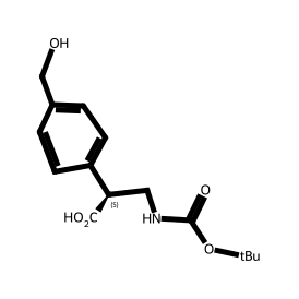 CC(C)(C)OC(=O)NC[C@@H](C(=O)O)c1ccc(CO)cc1